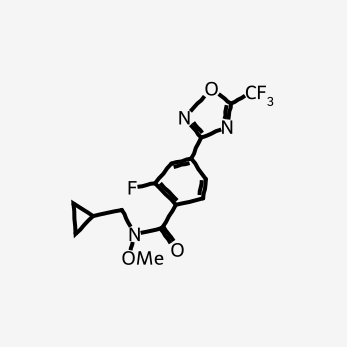 CON(CC1CC1)C(=O)c1ccc(-c2noc(C(F)(F)F)n2)cc1F